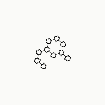 c1ccc(-c2cccc(-c3cccc(-c4cc(-c5cccc(-c6cccc(-c7ccccn7)n6)c5)nc(-c5cccc(-c6cccc(-c7ccccn7)n6)c5)n4)c3)n2)cc1